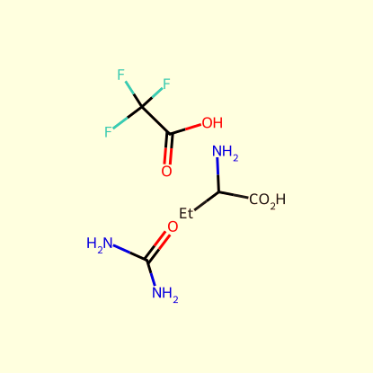 CCC(N)C(=O)O.NC(N)=O.O=C(O)C(F)(F)F